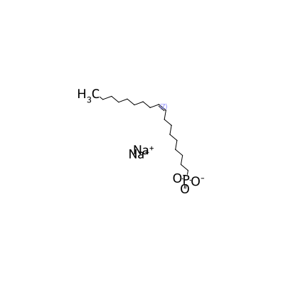 CCCCCCCC/C=C\CCCCCCCCP(=O)([O-])[O-].[Na+].[Na+]